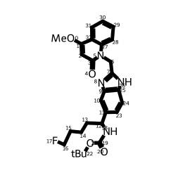 COc1cc(=O)n(Cc2nc3cc(C(CCCCF)NC(=O)OC(C)(C)C)ccc3[nH]2)c2ccccc12